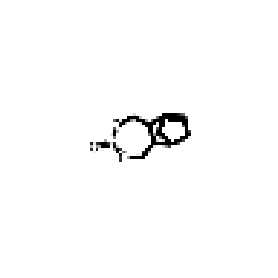 O=S1OCC2C3=CCC(C3)C2CO1